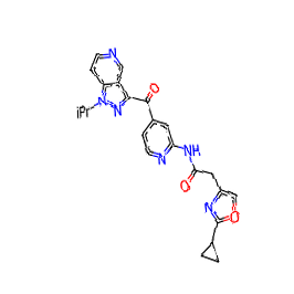 CC(C)n1nc(C(=O)c2ccnc(NC(=O)Cc3coc(C4CC4)n3)c2)c2cnccc21